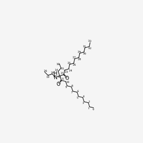 CCCCCCCCCCCC(=O)C(CCC)(NCCC)C(=O)CCCCCCCCCCC